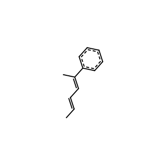 CC=CC=C(C)c1ccccc1